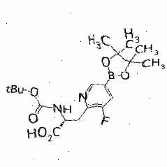 CC(C)(C)OC(=O)N[C@@H](Cc1ncc(B2OC(C)(C)C(C)(C)O2)cc1F)C(=O)O